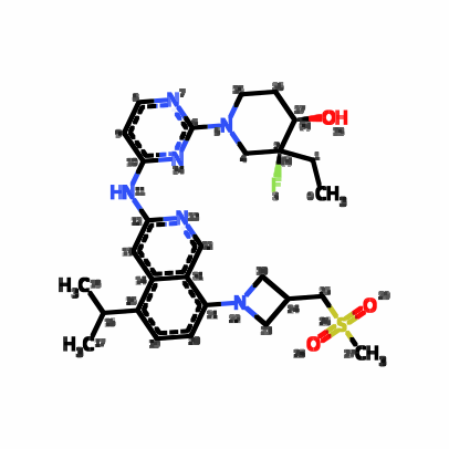 CC[C@]1(F)CN(c2nccc(Nc3cc4c(C(C)C)ccc(N5CC(CS(C)(=O)=O)C5)c4cn3)n2)CC[C@H]1O